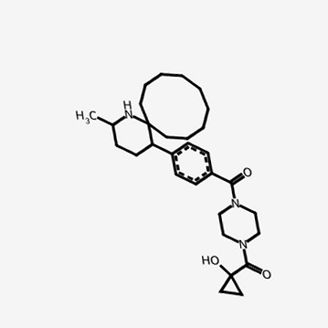 CC1CCC(c2ccc(C(=O)N3CCN(C(=O)C4(O)CC4)CC3)cc2)C2(CCCCCCCCC2)N1